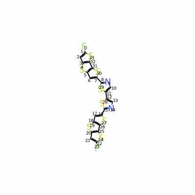 Fc1cc2sc3cc(-c4ncc(-c5cnc(-c6cc7sc8cc(F)sc8c7s6)s5)s4)sc3c2s1